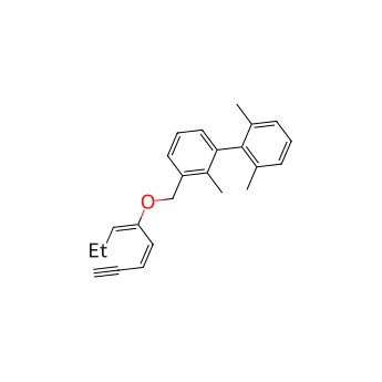 C#C/C=C\C(=C/CC)OCc1cccc(-c2c(C)cccc2C)c1C